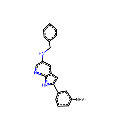 CC(=O)Nc1cccc(-c2cc3cc(NCc4ccccc4)cnc3[nH]2)c1